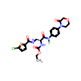 CCOC(=O)N[C@@H](CNC(=O)c1ccc(Cl)s1)C(=O)N(F)c1ccc(N2CCOCC2=O)cc1